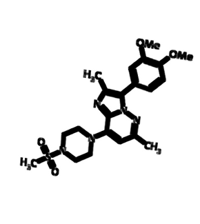 COc1ccc(-c2c(C)nc3c(N4CCN(S(C)(=O)=O)CC4)cc(C)nn23)cc1OC